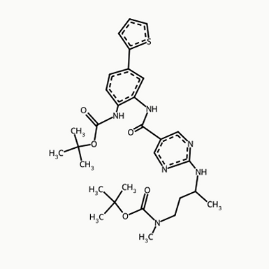 CC(CCN(C)C(=O)OC(C)(C)C)Nc1ncc(C(=O)Nc2cc(-c3cccs3)ccc2NC(=O)OC(C)(C)C)cn1